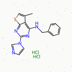 Cc1csc2nc(-n3ccnc3)nc(NCc3ccccc3)c12.Cl.Cl